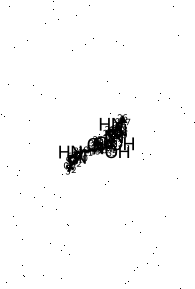 CC(C)(C)c1ccc2[nH]c(CCCCN(C[C@H]3C[C@@H](n4ccc5c(NC6CC6)ncnc54)[C@H](O)[C@@H]3O)S(C)(=O)=O)nc2c1